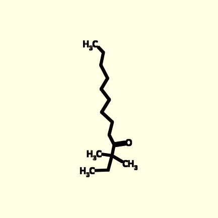 CCCCCCCCCC(=O)C(C)(C)CC